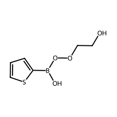 OCCOOB(O)c1cccs1